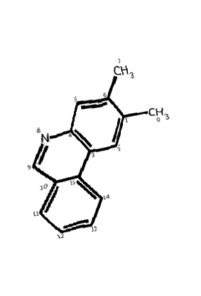 Cc1[c]c2c(cc1C)ncc1ccccc12